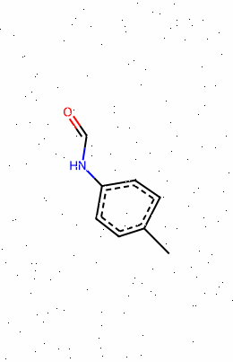 Cc1ccc(NC=O)cc1